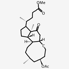 COC(=O)CC[C@@H](C)C1CC[C@H]2[C@@H]3CC[C@@H](C)C[C@H](OC(C)=O)CCC[C@H]3CC(=O)[C@]12C